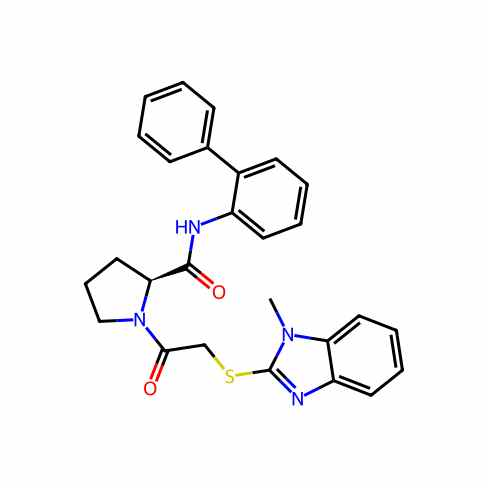 Cn1c(SCC(=O)N2CCC[C@H]2C(=O)Nc2ccccc2-c2ccccc2)nc2ccccc21